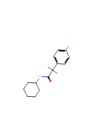 CC(C)(C(=O)NC1CCCCC1)c1ccc(Cl)cc1